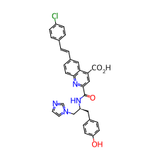 O=C(N[C@@H](Cc1ccc(O)cc1)Cn1ccnc1)c1cc(C(=O)O)c2cc(/C=C/c3ccc(Cl)cc3)ccc2n1